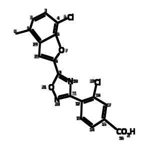 Cc1ccc(Cl)c2oc(-c3nc(-c4ccc(C(=O)O)cc4Cl)no3)cc12